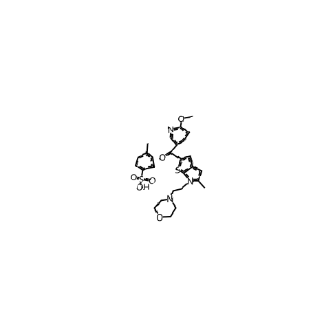 COc1ccc(C(=O)c2cc3cc(C)n(CCN4CCOCC4)c3s2)cn1.Cc1ccc(S(=O)(=O)O)cc1